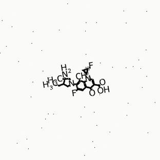 CCC1CN(c2c(F)cc3c(=O)c(C(=O)O)cn([C@@H]4C[C@@H]4F)c3c2C)CC1(C)N